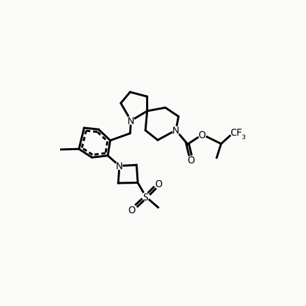 Cc1ccc(CN2CCCC23CCN(C(=O)OC(C)C(F)(F)F)CC3)c(N2CC(S(C)(=O)=O)C2)c1